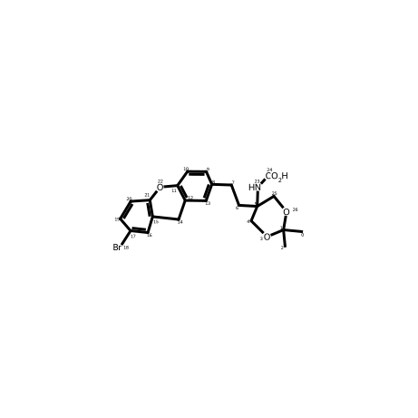 CC1(C)OCC(CCc2ccc3c(c2)Cc2cc(Br)ccc2O3)(NC(=O)O)CO1